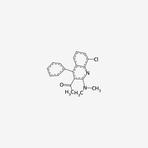 CC(=O)c1c(N(C)C)nc2c(Cl)cccc2c1-c1ccccc1